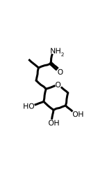 CC(CC1OCC(O)C(O)C1O)C(N)=O